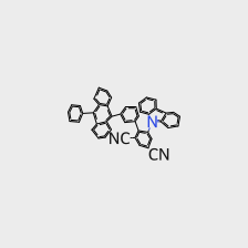 N#Cc1cc(C#N)c(-c2cccc(-c3c4ccccc4c(-c4ccccc4)c4ccccc34)c2)c(-n2c3ccccc3c3ccccc32)c1